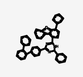 c1ccc(-c2ccccc2-c2ccc(C3=NC(c4ccccc4)NC(c4ccc(-c5ccccc5)c5oc6ccccc6c45)=N3)cc2)cc1